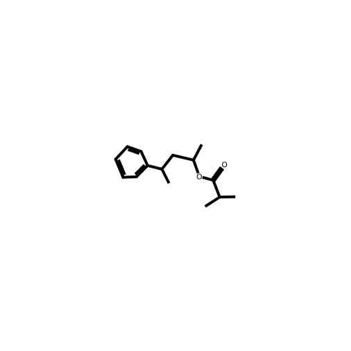 CC(CC(C)c1ccccc1)OC(=O)C(C)C